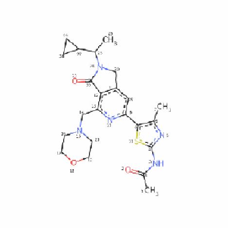 CC(=O)Nc1nc(C)c(-c2cc3c(c(CN4CCOCC4)n2)C(=O)N(C(C)C2CC2)C3)s1